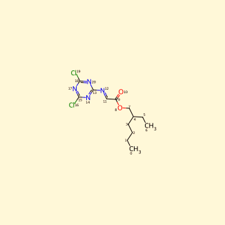 CCCCC(CC)COC(=O)C=Nc1nc(Cl)nc(Cl)n1